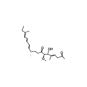 CC/C(C)=C/C=C/C=C/[C@@H](C)CCC(=O)[C@H](OC)C(O)/C(C)=C/CC(C)=O